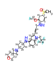 C[S+]([O-])C1C=CC(NCC#Cc2cc3c(NC4CCC(N5CC6(CCOCC6)C5)CC4)cccc3n2CC(F)(F)F)C(OCF)C1